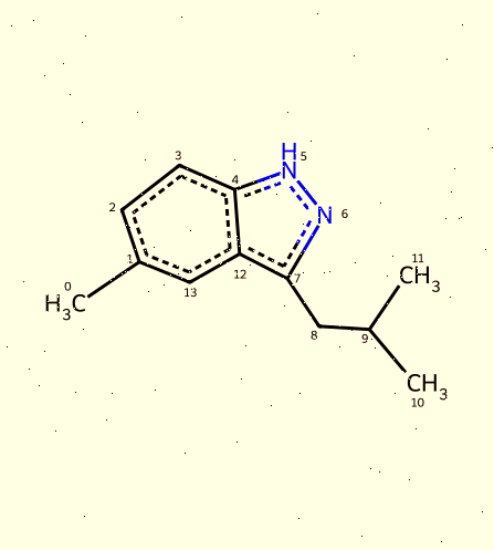 Cc1ccc2[nH]nc(CC(C)C)c2c1